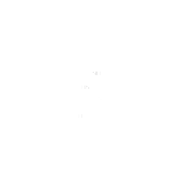 CCNNSC(=O)O